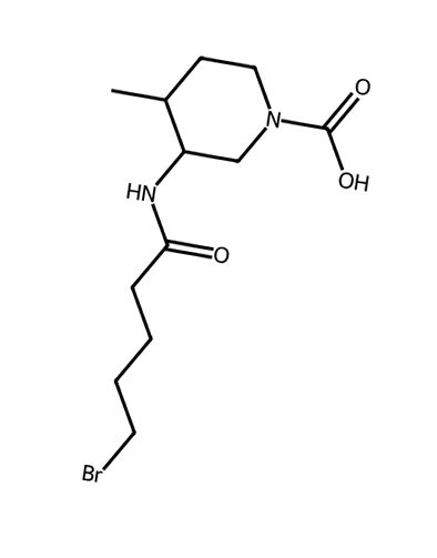 CC1CCN(C(=O)O)CC1NC(=O)CCCCBr